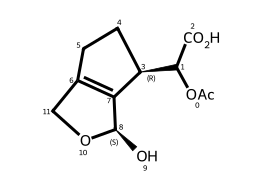 CC(=O)OC(C(=O)O)[C@@H]1CCC2=C1[C@@H](O)OC2